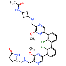 COc1nc(-c2cccc(-c3cccc(-c4cnc(CNC5CC(NC(C)=O)C5)c(OC)n4)c3Cl)c2Cl)cnc1CNC[C@@H]1CCC(=O)N1